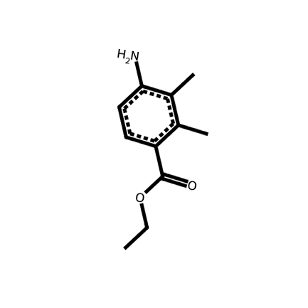 CCOC(=O)c1ccc(N)c(C)c1C